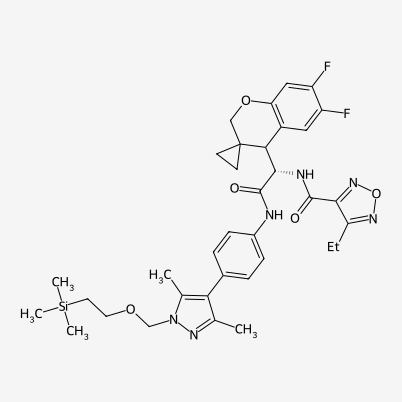 CCc1nonc1C(=O)N[C@H](C(=O)Nc1ccc(-c2c(C)nn(COCC[Si](C)(C)C)c2C)cc1)C1c2cc(F)c(F)cc2OCC12CC2